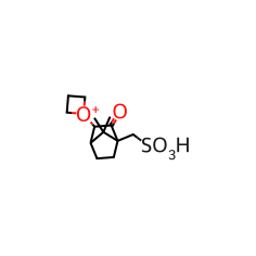 CC1(C)C2CCC1(CS(=O)(=O)O)C(=O)C2[O+]1CCC1